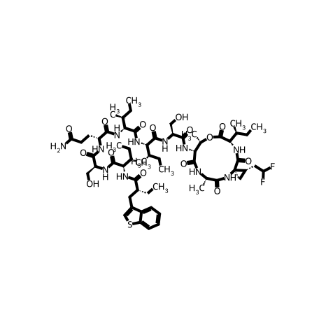 CC[C@H](Cc1csc2ccccc12)C(=O)N[C@H](C(=O)N[C@@H](CO)C(=O)N[C@H](CCC(N)=O)C(=O)N[C@@H](C(=O)N[C@H](C(=O)N[C@@H](CO)C(=O)N[C@H]1C(=O)N[C@@H](C)C(=O)N[C@@]2(C[C@H]2CC(F)F)C(=O)N[C@@H]([C@@H](C)CC)C(=O)O[C@H]1C)[C@@H](C)CC)[C@@H](C)CC)[C@@H](C)CC